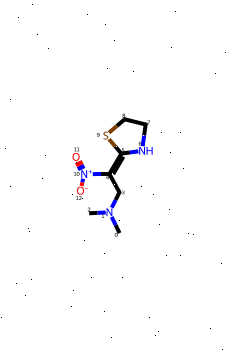 CN(C)C/C(=C1\NCCS1)[N+](=O)[O-]